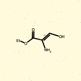 CCOC(=O)/C(N)=C/O